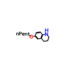 CCCCCOc1[c]cc2c(c1)CCCN2